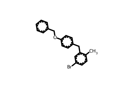 Cc1ccc(Br)cc1Cc1ccc(OCc2ccccc2)cc1